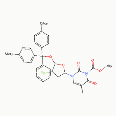 COc1ccc(C(OC2OC(n3cc(C)c(=O)n(C(=O)OC(C)(C)C)c3=O)CC2[18F])(c2ccccc2)c2ccc(OC)cc2)cc1